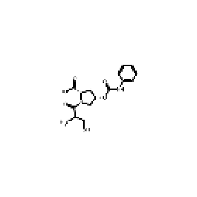 CC(CS)C(=O)N1C[C@@H](OC(=O)Nc2ccccc2)C[C@H]1C(=O)O